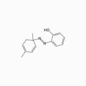 CC1=CCC(C)(N=Nc2ccccc2O)C=C1